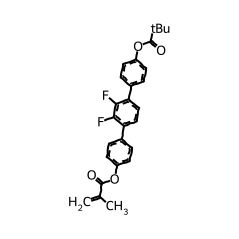 C=C(C)C(=O)Oc1ccc(-c2ccc(-c3ccc(OC(=O)C(C)(C)C)cc3)c(F)c2F)cc1